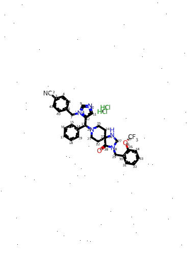 Cl.Cl.N#Cc1ccc(Cn2cncc2C(c2ccccc2)N2CCC3(CC2)NCN(Cc2ccccc2OC(F)(F)F)C3=O)cc1